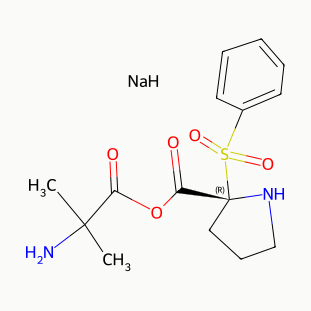 CC(C)(N)C(=O)OC(=O)[C@]1(S(=O)(=O)c2ccccc2)CCCN1.[NaH]